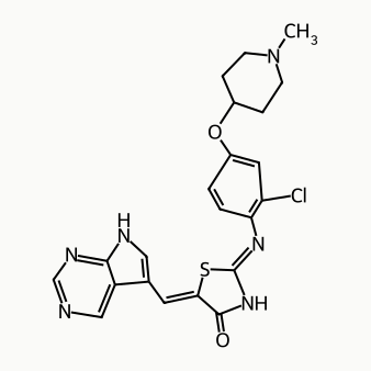 CN1CCC(Oc2ccc(/N=C3/NC(=O)/C(=C/c4c[nH]c5ncncc45)S3)c(Cl)c2)CC1